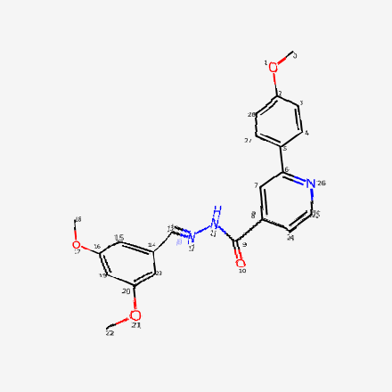 COc1ccc(-c2cc(C(=O)N/N=C/c3cc(OC)cc(OC)c3)ccn2)cc1